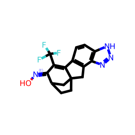 O/N=C1/C(C(F)(F)F)=C2c3ccc4[nH]nnc4c3CC23CCC1C3